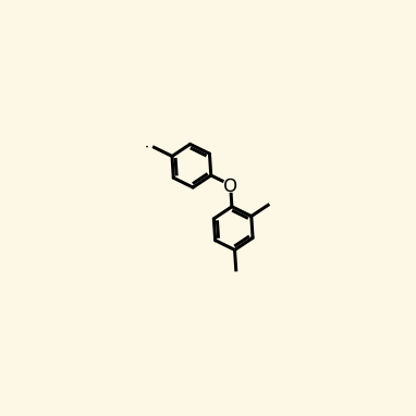 [CH2]c1ccc(Oc2ccc(C)cc2C)cc1